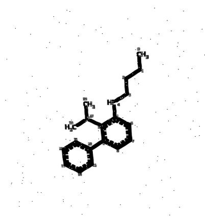 CCCCPc1cccc(-c2ccccc2)c1N(C)C